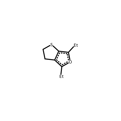 CCc1oc(CC)c2c1CCS2